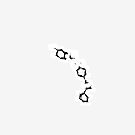 O=S(=O)(Nc1nc2cc(Cl)ccc2s1)c1ccc(-c2ncc(-c3ccccc3)s2)cc1